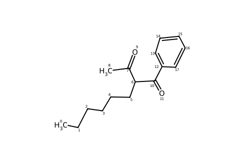 CCCCCCC(C(C)=O)C(=O)c1ccccc1